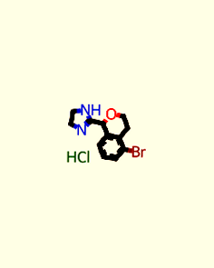 Brc1cccc2c1CCOC2C1=NCCN1.Cl